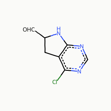 O=CC1Cc2c(Cl)ncnc2N1